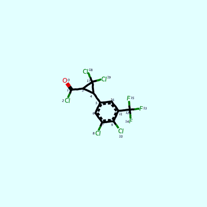 O=C(Cl)C1C(c2cc(Cl)c(Cl)c(C(F)(F)F)c2)C1(Cl)Cl